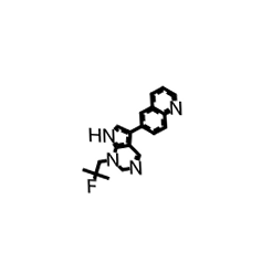 CC(C)(F)CN1CN=Cc2c(-c3ccc4ncccc4c3)c[nH]c21